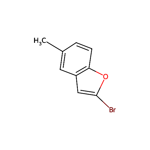 Cc1ccc2oc(Br)cc2c1